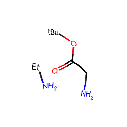 CC(C)(C)OC(=O)CN.CCN